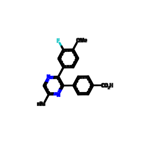 CCCCc1cnc(-c2ccc(OC)c(F)c2)c(-c2ccc(C(=O)O)cc2)n1